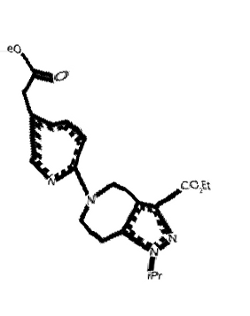 CCOC(=O)c1nn(C(C)C)c2c1CN(c1ccc(CC(=O)OC)cn1)CC2